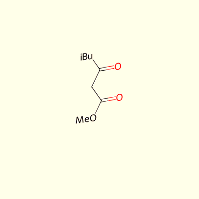 CCC(C)C(=O)CC(=O)OC